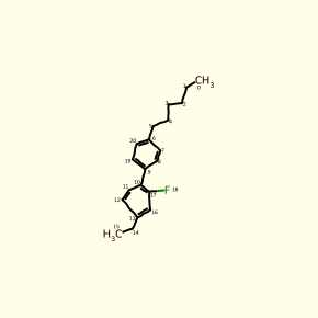 CCCCCCc1ccc(-c2ccc(CC)cc2F)cc1